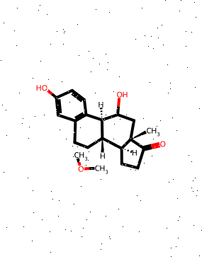 COC.C[C@]12CC(O)[C@@H]3c4ccc(O)cc4CC[C@H]3[C@@H]1CCC2=O